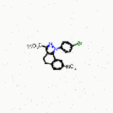 CCOC(=O)c1nn(-c2ccc(Br)cc2)c2c1CCc1ccc([N+](=O)[O-])cc1-2